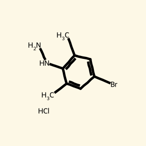 Cc1cc(Br)cc(C)c1NN.Cl